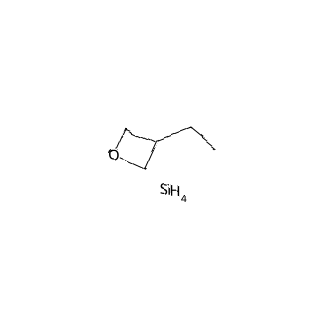 CCC1COC1.[SiH4]